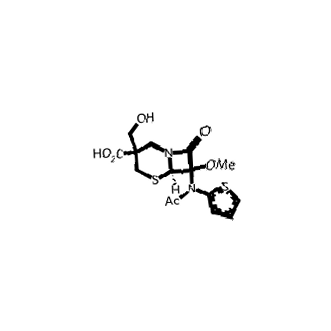 COC1(N(C(C)=O)c2cccs2)C(=O)N2CC(CO)(C(=O)O)CS[C@@H]21